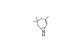 CC1=CC2NC2CC(C)(C)C1